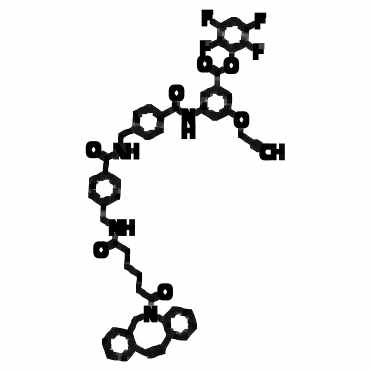 C#CCOc1cc(NC(=O)c2ccc(CNC(=O)c3ccc(CNC(=O)CCCCC(=O)N4Cc5ccccc5C#Cc5ccccc54)cc3)cc2)cc(C(=O)Oc2c(F)c(F)cc(F)c2F)c1